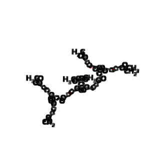 C=CC(=O)OCC1CC2C3CC(COC(=O)c4ccc(C(=O)OCC5CC6C7CC(COC(=O)c8cc(C(=O)OC)c(C(=O)OC)cc8C(=O)OCC8CC9CC8C8CC(COC(=O)c%10ccc(C(=O)OCC%11CC%12CC%11C%11CC(COC(=O)C(C)=O)CC%12%11)c(C(=O)OCC%11CC%12CC%11C%11CC(COC(=O)C=C)CC%12%11)c%10)CC98)C(C7)C6C5)cc4C(=O)OCC4CC5CC4C4CC(COC(=O)C(=C)C)CC54)C(C3)C2C1